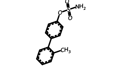 Cc1ccccc1-c1ccc(OS(N)(=O)=O)cc1